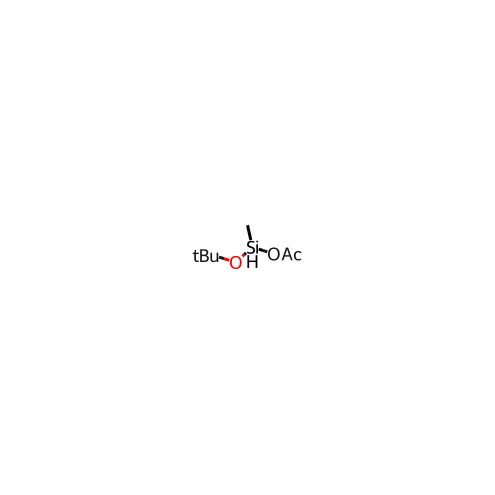 CC(=O)O[SiH](C)OC(C)(C)C